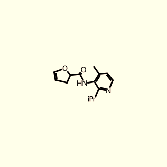 Cc1ccnc(C(C)C)c1NC(=O)C1CC=CO1